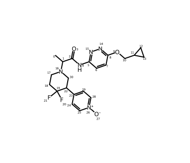 CC(C(=O)Nc1ccc(OCC2CC2)nn1)N1CCC(F)(F)C(c2cc[n+]([O-])cc2)C1